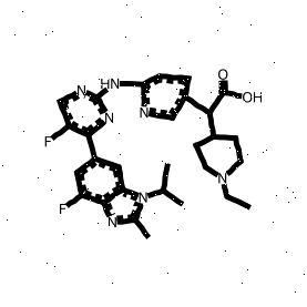 CCN1CCC(C(C(=O)O)c2ccc(Nc3ncc(F)c(-c4cc(F)c5nc(C)n(C(C)C)c5c4)n3)nc2)CC1